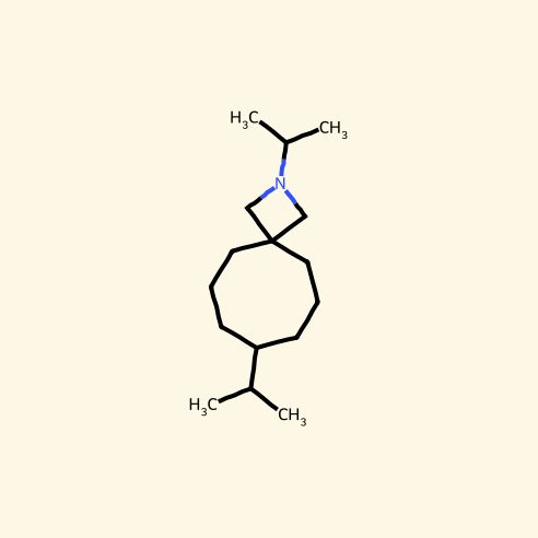 CC(C)C1CCCC2(CCC1)CN(C(C)C)C2